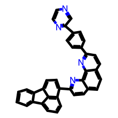 c1ccc2c(c1)-c1cccc3c(-c4ccc5ccc6ccc(-c7ccc(-c8cnccn8)cc7)nc6c5n4)ccc-2c13